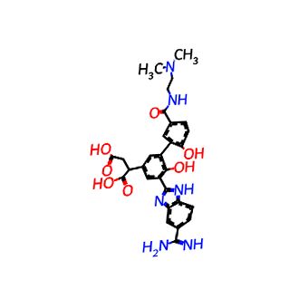 CN(C)CCNC(=O)c1ccc(O)c(-c2cc(C(CC(=O)O)C(=O)O)cc(-c3nc4cc(C(=N)N)ccc4[nH]3)c2O)c1